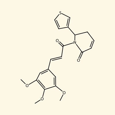 COc1cc(C=CC(=O)N2C(=O)C=CCC2c2ccsc2)cc(OC)c1OC